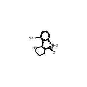 COc1cccc2[nH]c(=O)c3c(c12)NCCC3.Cl